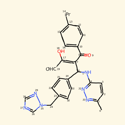 Cc1ccc(NC(/C(C(=O)c2ccc(C(C)C)cc2)=C(/O)C=O)c2ccc(Cn3cncn3)cc2)nn1